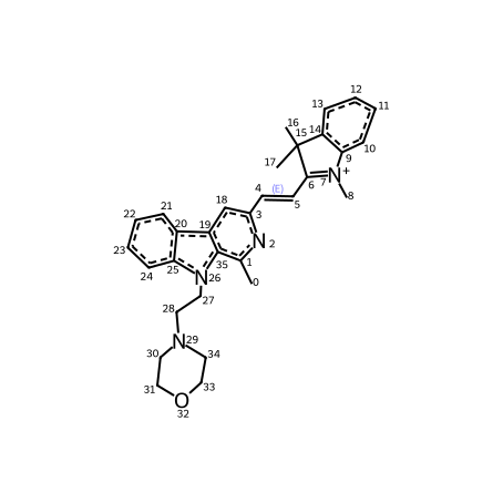 Cc1nc(/C=C/C2=[N+](C)c3ccccc3C2(C)C)cc2c3ccccc3n(CCN3CCOCC3)c12